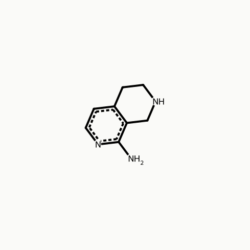 Nc1nccc2c1CNCC2